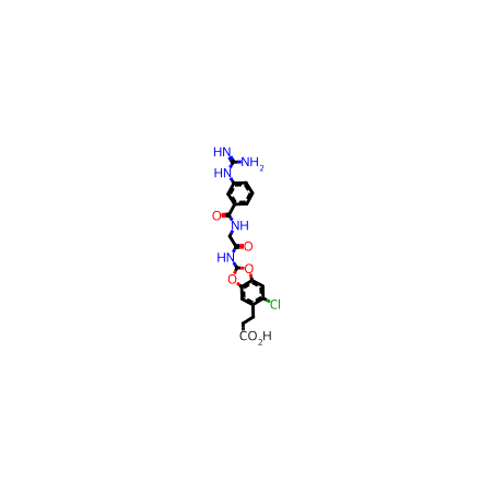 N=C(N)Nc1cccc(C(=O)NCC(=O)NC2Oc3cc(Cl)c(CCC(=O)O)cc3O2)c1